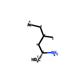 CC(=O)CC(C)C[C@H](N)C(=O)O